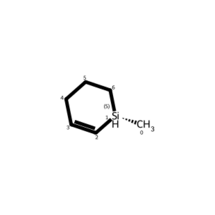 C[Si@@H]1C=CCCC1